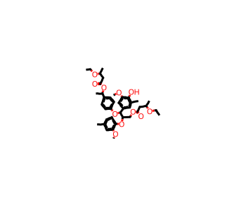 CCOC(C)CC(=O)OCC(Oc1ccc(C)cc1OC)C(Oc1ccc(C(C)OC(=O)CC(C)OCC)cc1)c1cc(C)c(O)c(OC)c1